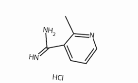 Cc1ncccc1C(=N)N.Cl